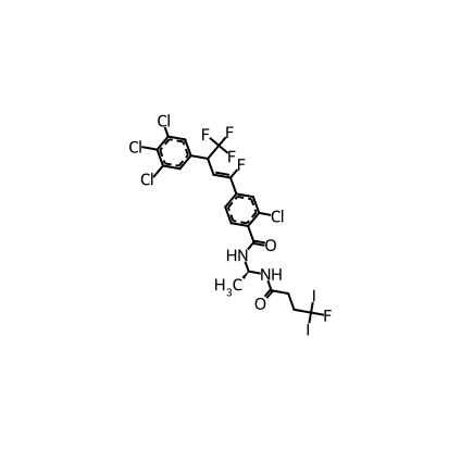 C[C@H](NC(=O)CCC(F)(I)I)NC(=O)c1ccc(/C(F)=C/C(c2cc(Cl)c(Cl)c(Cl)c2)C(F)(F)F)cc1Cl